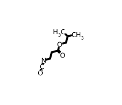 CC(C)COC(=O)CCN=C=O